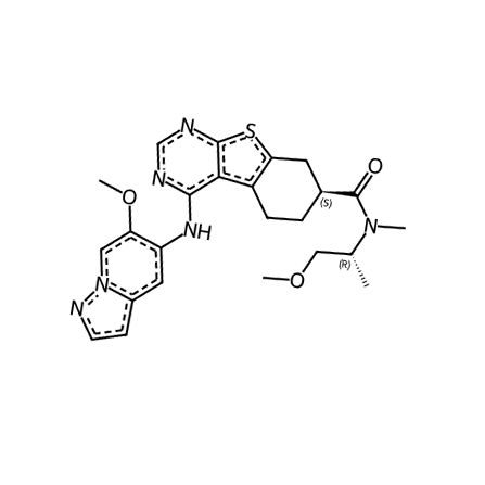 COC[C@@H](C)N(C)C(=O)[C@H]1CCc2c(sc3ncnc(Nc4cc5ccnn5cc4OC)c23)C1